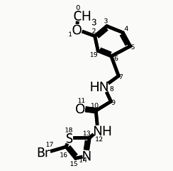 COc1cccc(CNCC(=O)Nc2ncc(Br)s2)c1